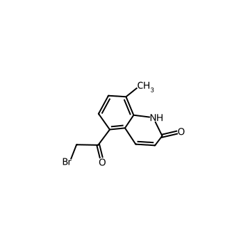 Cc1ccc(C(=O)CBr)c2ccc(=O)[nH]c12